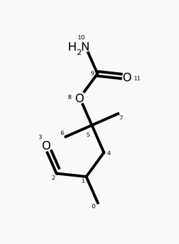 CC(C=O)CC(C)(C)OC(N)=O